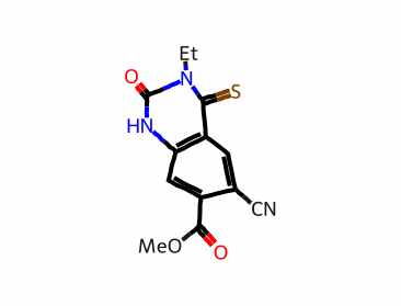 CCn1c(=O)[nH]c2cc(C(=O)OC)c(C#N)cc2c1=S